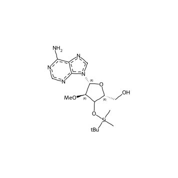 CO[C@@H]1C(O[Si](C)(C)C(C)(C)C)[C@@H](CO)O[C@H]1n1cnc2c(N)ncnc21